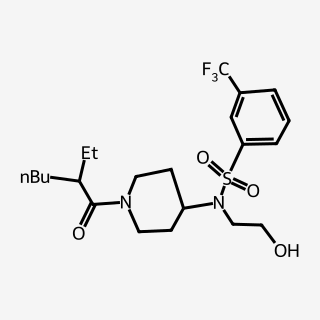 CCCCC(CC)C(=O)N1CCC(N(CCO)S(=O)(=O)c2cccc(C(F)(F)F)c2)CC1